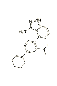 CN(C)c1cc(C2=CCCCC2)ccc1-c1cccc2[nH]nc(N)c12